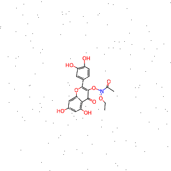 CCON(Oc1c(-c2ccc(O)c(O)c2)oc2cc(O)cc(O)c2c1=O)C(C)=O